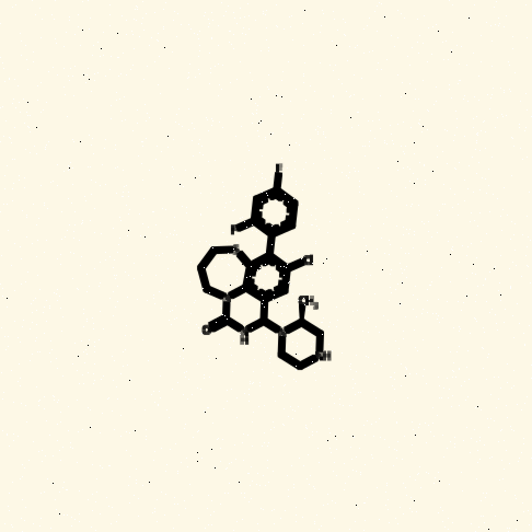 C[C@H]1CNCCN1C1NC(=O)N2CCCSc3c(-c4ccc(F)cc4F)c(Cl)cc1c32